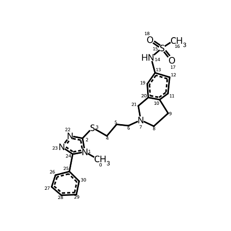 Cn1c(SCCCN2CCc3ccc(NS(C)(=O)=O)cc3C2)nnc1-c1ccccc1